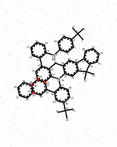 CC(C)(C)c1ccc(Nc2ccccc2-c2cc(-c3ccccc3)cc3c2Cc2cc4c(cc2N3c2ccc(C(C)(C)C)cc2-c2ccccc2)C(C)(C)c2ccccc2-4)cc1